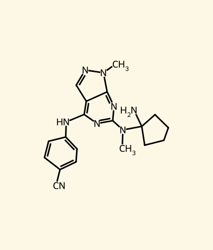 CN(c1nc(Nc2ccc(C#N)cc2)c2cnn(C)c2n1)C1(N)CCCC1